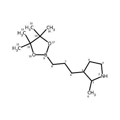 CC1NCCC1CCCB1OC(C)(C)C(C)(C)O1